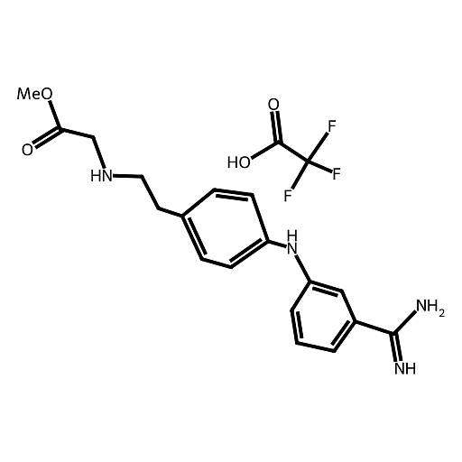 COC(=O)CNCCc1ccc(Nc2cccc(C(=N)N)c2)cc1.O=C(O)C(F)(F)F